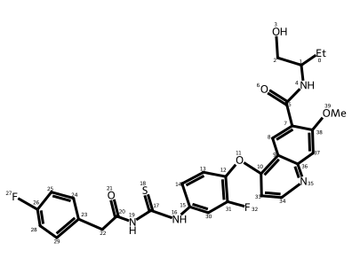 CCC(CO)NC(=O)c1cc2c(Oc3ccc(NC(=S)NC(=O)Cc4ccc(F)cc4)cc3F)ccnc2cc1OC